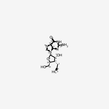 C#CC[C@H]1[C@@H](O)[C@H](n2cnc3c(=O)[nH]c(N)nc32)O[C@@H]1CO